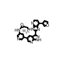 CCC1OC1Nc1cncc(-c2cnc3[nH]nc(-c4nc5c(-c6ccoc6)ccnc5[nH]4)c3c2)c1